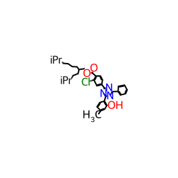 Cc1ccc(-c2nc(-c3ccccc3)nc(-c3ccc(C(=O)OCC(CCCCC(C)C)CCC(C)C)c(Cl)c3)n2)c(O)c1